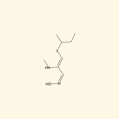 CCC(C)S/C=C(/C=N\O)NC